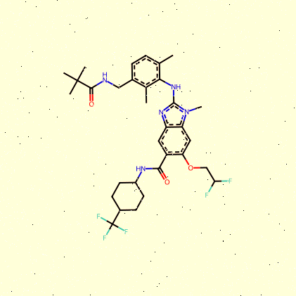 Cc1ccc(CNC(=O)C(C)(C)C)c(C)c1Nc1nc2cc(C(=O)NC3CCC(C(F)(F)F)CC3)c(OCC(F)F)cc2n1C